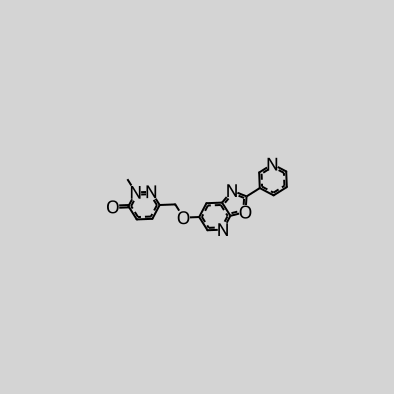 Cn1nc(COc2cnc3oc(-c4cccnc4)nc3c2)ccc1=O